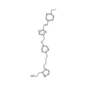 CCc1ccc(C=Cc2nc(COc3ccc(CCCCn4ccnc4CCO)cc3)co2)cc1